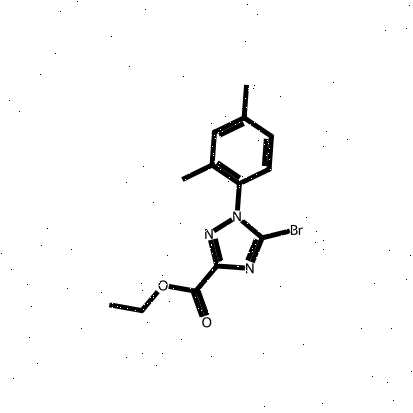 CCOC(=O)c1nc(Br)n(-c2ccc(C)cc2C)n1